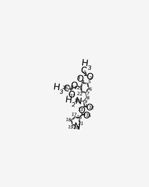 CC(=O)Oc1ccc(C[C@H](N)C(=O)OC(=O)c2cccnc2)cc1OC(C)=O